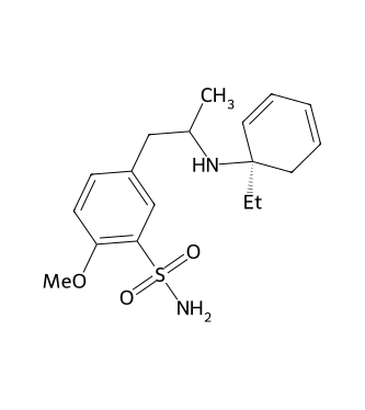 CC[C@]1(NC(C)Cc2ccc(OC)c(S(N)(=O)=O)c2)C=CC=CC1